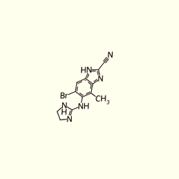 Cc1c(NC2=NCCN2)c(Br)cc2[nH]c(C#N)nc12